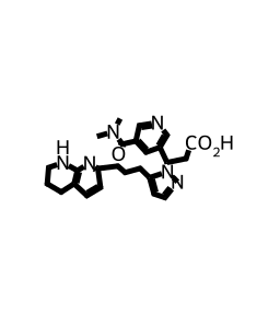 CN(C)C(=O)c1cncc(C(CC(=O)O)n2nccc2CCCc2ccc3c(n2)NCCC3)c1